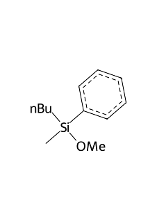 CCCC[Si](C)(OC)c1ccccc1